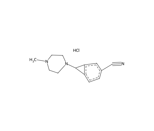 CN1CCN(C2c3ccc(C#N)cc32)CC1.Cl